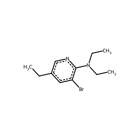 CCc1cnc(N(CC)CC)c(Br)c1